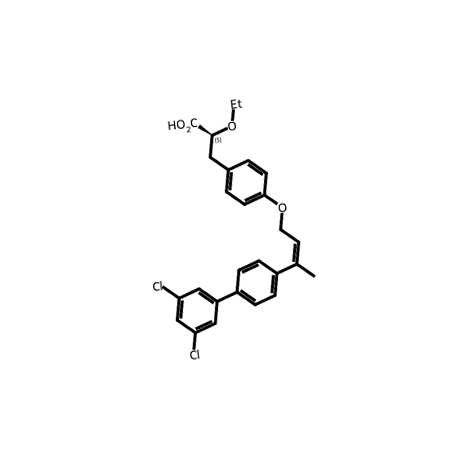 CCO[C@@H](Cc1ccc(OCC=C(C)c2ccc(-c3cc(Cl)cc(Cl)c3)cc2)cc1)C(=O)O